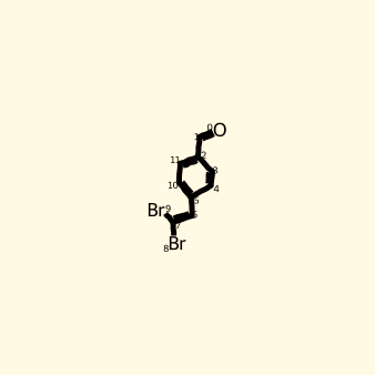 O=Cc1ccc(C=C(Br)Br)cc1